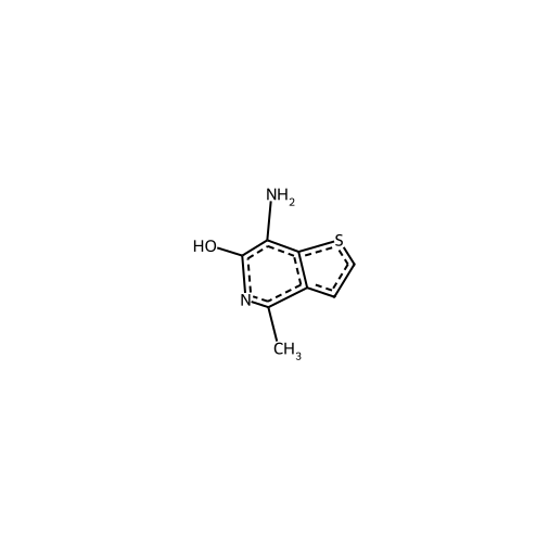 Cc1nc(O)c(N)c2sccc12